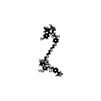 Cc1ncsc1-c1ccc(CNC(=O)[C@@H]2C[C@@H](O)CN2C(=O)C(NC(=O)COCCCOCCCOc2ccc(NC(=O)C[C@@H]3N=C(c4ccc(Br)cc4)c4c(sc(C)c4C)-n4c(C)nnc43)cc2)C(C)(C)C)cc1